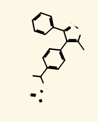 Cc1onc(-c2ccccc2)c1-c1ccc(C(N=S(=O)=O)C(=O)O)cc1